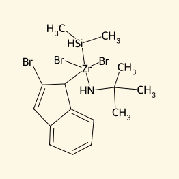 C[SiH](C)[Zr]([Br])([Br])([NH]C(C)(C)C)[CH]1C(Br)=Cc2ccccc21